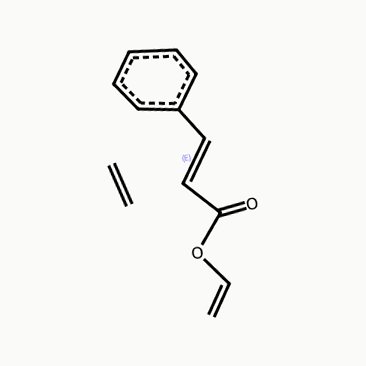 C=C.C=COC(=O)/C=C/c1ccccc1